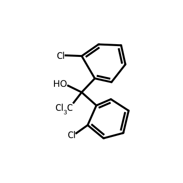 OC(c1ccccc1Cl)(c1ccccc1Cl)C(Cl)(Cl)Cl